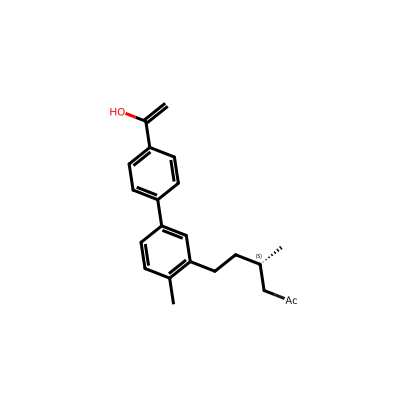 C=C(O)c1ccc(-c2ccc(C)c(CC[C@H](C)CC(C)=O)c2)cc1